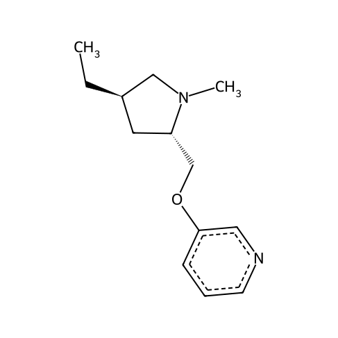 CC[C@@H]1C[C@@H](COc2cccnc2)N(C)C1